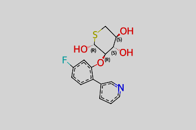 O[C@@H]1[C@@H](Oc2cc(F)ccc2-c2cccnc2)[C@H](O)SC[C@H]1O